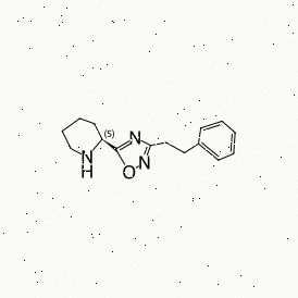 c1ccc(CCc2noc([C@@H]3CCCCN3)n2)cc1